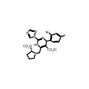 CCOC(=O)C1=C(CN2CCC[C@H]2C(=O)O)NC(n2cncn2)=NC1c1ccc(F)cc1Br